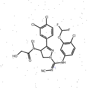 CCN(C(=O)CO)C1CN(/C(=N\C#N)Nc2ccc(Cl)c(OC(F)F)c2)N=C1c1ccc(Cl)c(Cl)c1